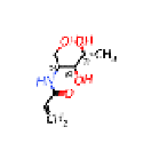 C=CC(=O)N[C@@H](CO)[C@H](O)[C@@H](C)O